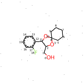 OCC1OC2(CCCCC2)OC1c1ccccc1F